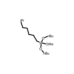 CCCCO[Si](CCCCCC(C)C)(OC)OCCCC